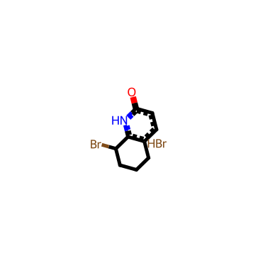 Br.O=c1ccc2c([nH]1)C(Br)CCC2